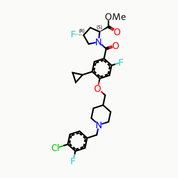 COC(=O)[C@@H]1C[C@@H](F)CN1C(=O)c1cc(C2CC2)c(OCC2CCN(Cc3ccc(Cl)c(F)c3)CC2)cc1F